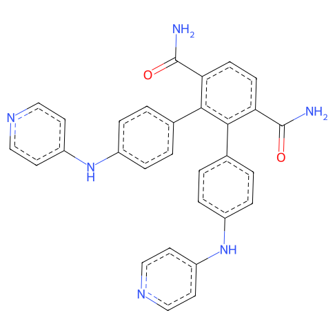 NC(=O)c1ccc(C(N)=O)c(-c2ccc(Nc3ccncc3)cc2)c1-c1ccc(Nc2ccncc2)cc1